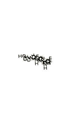 O=C(O)CC(=O)N1CCC[C@H](Nc2nc(-c3c[nH]c4ncc(F)cc34)ncc2F)C1